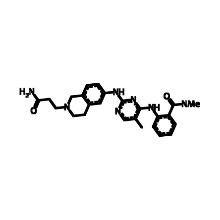 CNC(=O)c1ccccc1Nc1nc(Nc2ccc3c(c2)CCN(CCC(N)=O)C3)ncc1C